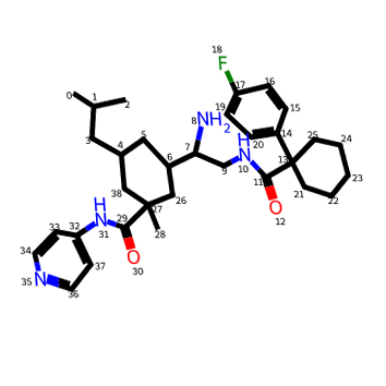 CC(C)CC1CC(C(N)CNC(=O)C2(c3ccc(F)cc3)CCCCC2)CC(C)(C(=O)Nc2ccncc2)C1